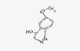 COc1ccc2nncc(O)c2c1